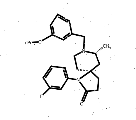 CCCOc1cccc(CN2CC[C@@]3(CCC(=O)N3c3cccc(F)c3)C[C@H]2C)c1